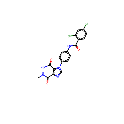 CNC(=O)c1ncn(-c2ccc(NC(=O)c3ccc(Cl)cc3Cl)cc2)c1C(N)=O